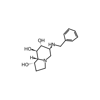 O[C@H]1[C@H](O)[C@@H](NCc2ccccc2)CN2CC[C@H](O)[C@H]12